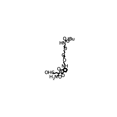 CC(C)(C)OC(=O)NCCOCCOCCOCCNc1cccc2c1C(=O)N(C(CCC=O)C(N)=O)C2=O